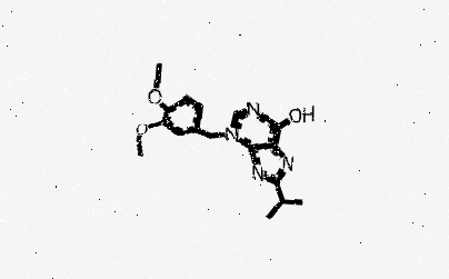 COc1ccc(Cn2cnc(O)c3nc(C(C)C)nc2-3)cc1OC